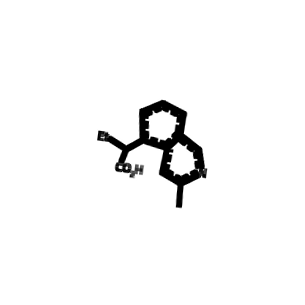 CCC(C(=O)O)c1cccc2cnc(C)cc12